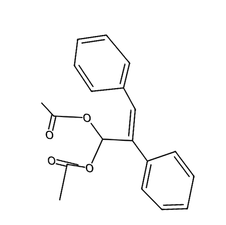 CC(=O)OC(OC(C)=O)C(=Cc1ccccc1)c1ccccc1